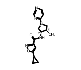 C[C@@H]1CN(c2ccncn2)C[C@@H]1NC(=O)c1cc(C2CC2)on1